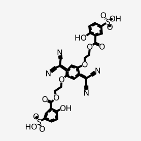 N#CC(C#N)=c1cc(OCCOC(=O)c2cc(S(=O)(=O)O)ccc2O)c(=C(C#N)C#N)cc1OCCOC(=O)c1cc(S(=O)(=O)O)ccc1O